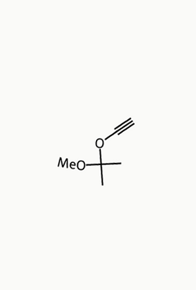 C#COC(C)(C)OC